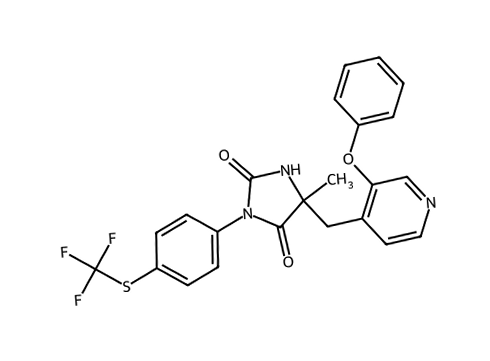 CC1(Cc2ccncc2Oc2ccccc2)NC(=O)N(c2ccc(SC(F)(F)F)cc2)C1=O